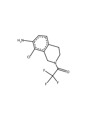 Nc1ccc2c(c1Cl)CN(C(=O)C(F)(F)F)CC2